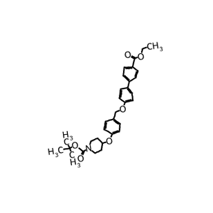 CCOC(=O)c1ccc(-c2ccc(OCc3ccc(OC4CCN(C(=O)OC(C)(C)C)CC4)cc3)cc2)cc1